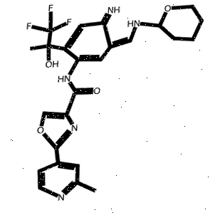 Cc1cc(-c2nc(C(=O)NC3=C/C(=C/NC4CCCCO4)C(=N)C=C3C(C)(O)C(F)(F)F)co2)ccn1